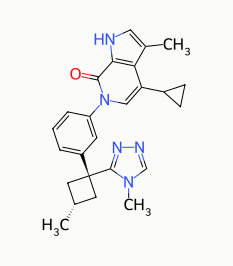 Cc1c[nH]c2c(=O)n(-c3cccc([C@]4(c5nncn5C)C[C@@H](C)C4)c3)cc(C3CC3)c12